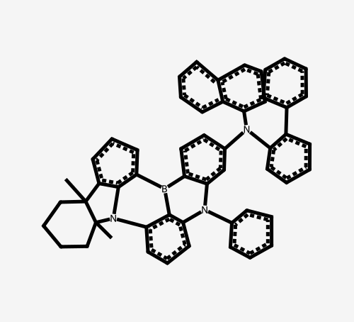 CC12CCCCC1(C)N1c3cccc4c3B(c3ccc(N(c5ccccc5-c5ccccc5)c5cccc6ccccc56)cc3N4c3ccccc3)c3cccc2c31